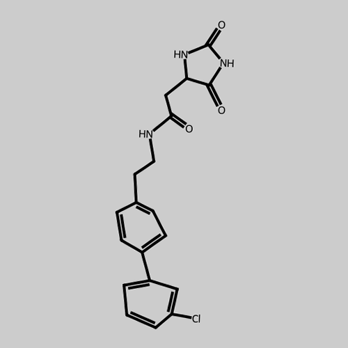 O=C(CC1NC(=O)NC1=O)NCCc1ccc(-c2cccc(Cl)c2)cc1